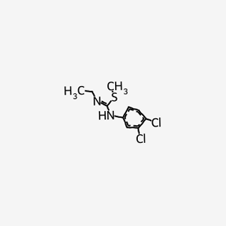 CCN=C(Nc1ccc(Cl)c(Cl)c1)SC